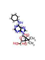 CC1(C)[C@]2(O)[C@@H](CO)O[C@@H](n3cnc4c(NC5CCCCC5)ncnc43)[C@]12O